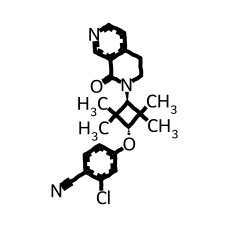 CC1(C)[C@H](Oc2ccc(C#N)c(Cl)c2)C(C)(C)[C@H]1N1CCc2ccncc2C1=O